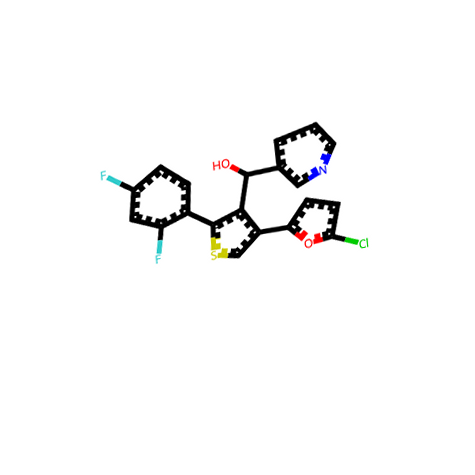 OC(c1cccnc1)c1c(-c2ccc(Cl)o2)csc1-c1ccc(F)cc1F